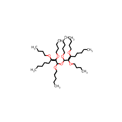 CCCCCOC(OC(OCCCCC)C(OCCCC)=C(CCCCC)OCCCC)C(OCCCC)=C(CCCCC)OCCCC